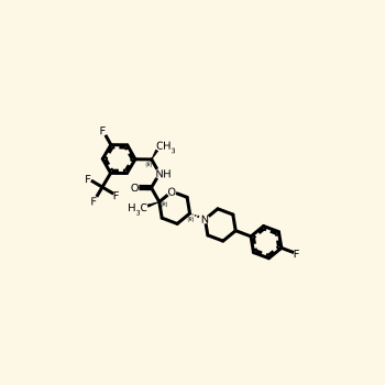 C[C@@H](NC(=O)[C@@]1(C)CC[C@@H](N2CCC(c3ccc(F)cc3)CC2)CO1)c1cc(F)cc(C(F)(F)F)c1